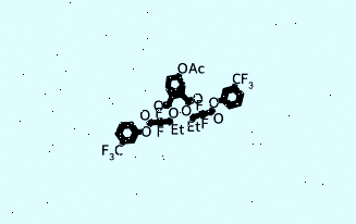 CCC(OC(=O)C1C2CC(OC(C)=O)C(C2)C1C(=O)OC(CC)C(F)(F)C(=O)Oc1cccc(C(F)(F)F)c1)C(F)(F)C(=O)Oc1cccc(C(F)(F)F)c1